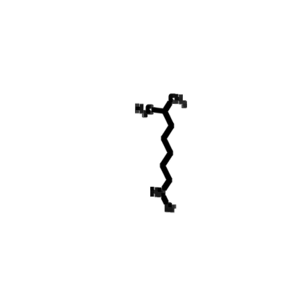 CC(C)CCCCCNBr